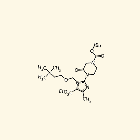 CCOC(=O)c1c(C)nc(N2CCN(C(=O)OC(C)(C)C)CC2=O)n1COCC[Si](C)(C)C